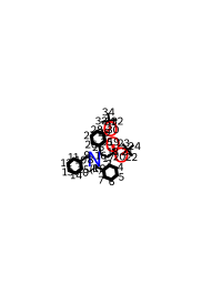 C[C@H](c1ccccc1)N(Cc1ccccc1)C(CC(=O)OC(C)(C)C)c1cccc(OC(C)(C)C)c1